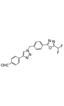 O=Cc1ccc(-c2cn(Cc3ccc(-c4nnc(C(F)F)o4)cc3)nn2)cc1